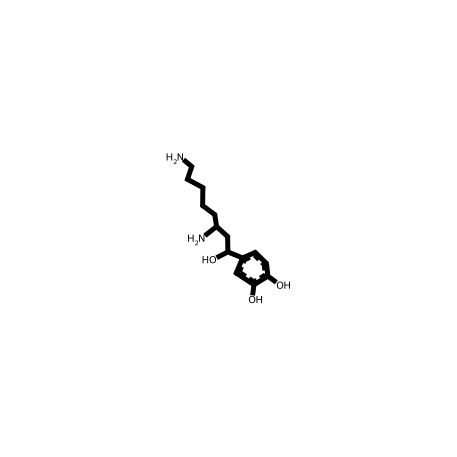 NCCCCCC(N)CC(O)c1ccc(O)c(O)c1